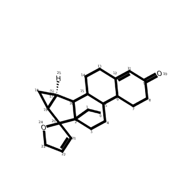 CCC12CCC3C4CCC(=O)C=C4CCC3C1[C@@H]1CC1C21C=CCO1